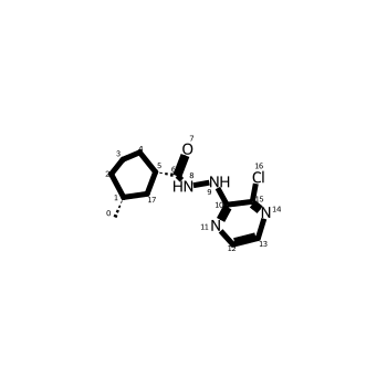 C[C@@H]1CCC[C@H](C(=O)NNc2nccnc2Cl)C1